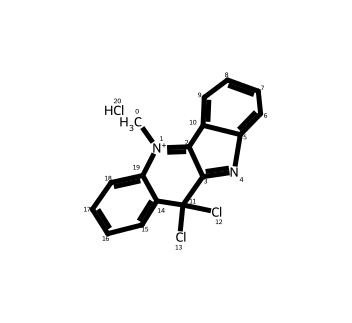 C[N+]1=C2C(=Nc3ccccc32)C(Cl)(Cl)c2ccccc21.Cl